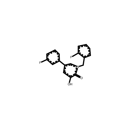 O=c1c(O)cc(-c2cccc(F)c2)cn1Cc1ccccc1F